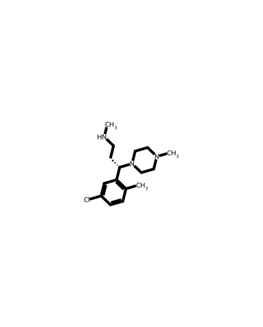 CNCC[C@@H](c1cc(Cl)ccc1C)N1CCN(C)CC1